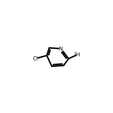 [2H]c1ccc(Cl)cn1